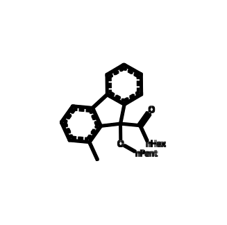 CCCCCCC(=O)C1(OCCCCC)c2ccccc2-c2cccc(C)c21